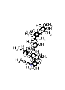 CCNC1COC(OC2C(OC3=C(NC(=O)OC)C(=O)C[C@](C)(O)/C3=C/CSSSC)OC(C)C(NOC3CC(O)C(SC(=O)c4c(C)c(I)c(OC5OC(C)C(O)C(OC)C5O)c(OC)c4OC)C(C)O3)C2O)CC1OC